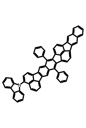 c1ccc(-c2c3cc4c(cc3c(-c3ccccc3)c3c5ccc6c7c(ccc(c23)c75)-c2cc3ccccc3cc2-6)c2ccc(-n3c5ccccc5c5ccccc53)c3cccc4c32)cc1